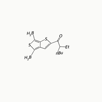 Bc1sc(B)c2sc(C(=O)C(CC)CCCC)cc12